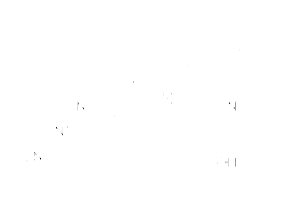 C[C@@H](COCCN=[N+]=[N-])NC(=O)O